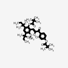 CCC(C)(C)c1cc(C(C)(C)CC)c(OC(=O)C(C)(C)C)c(C=C(OC)C(=O)c2ccc(OC(=O)C(C)(C)C)cc2)c1OC